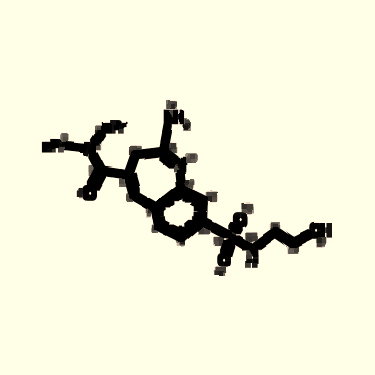 CCCN(CCC)C(=O)C1=Cc2ccc(S(=O)(=O)NCCO)cc2N=C(N)C1